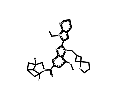 CCn1c(-c2nc3cc(C(=O)N4C[C@H]5CC6C[C@@H]4[C@H]65)cc(OC)c3n2CC2CC3(CCCO3)C2)cc2cccnc21